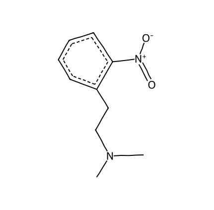 CN(C)CCc1ccccc1[N+](=O)[O-]